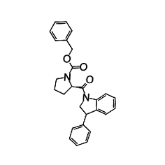 O=C([C@H]1CCCN1C(=O)OCc1ccccc1)N1CC(c2ccccc2)c2ccccc21